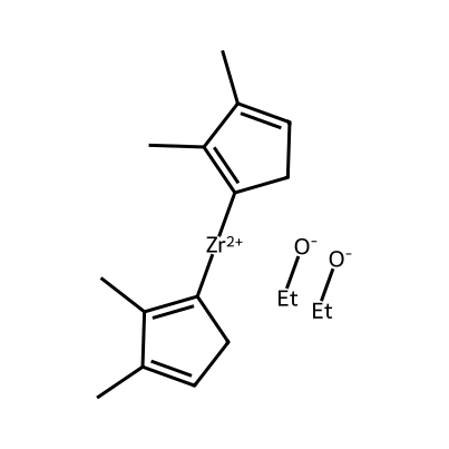 CC1=CC[C]([Zr+2][C]2=C(C)C(C)=CC2)=C1C.CC[O-].CC[O-]